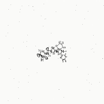 CN(Cc1ccccc1)[C@H]1CCCC[C@@H]1N(C)c1ccc2c(c1)CN(C1CCC(=O)NC1=O)C2=O